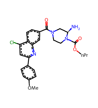 CCCOC(=O)N1CCN(C(=O)c2ccc3c(Cl)cc(-c4ccc(OC)cc4)nc3c2)C[C@H]1N